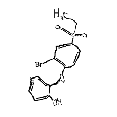 CCS(=O)(=O)c1ccc(Oc2ccccc2O)c(Br)c1